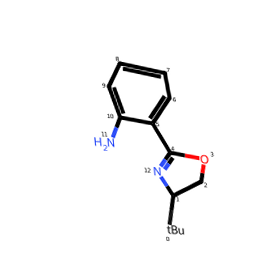 CC(C)(C)C1COC(c2ccccc2N)=N1